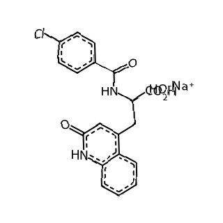 O=C(NC(Cc1cc(=O)[nH]c2ccccc12)C(=O)O)c1ccc(Cl)cc1.[Na+].[OH-]